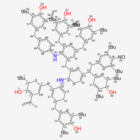 C=C(C)C1=C(O)C(C(C)(C)C)CC(CC2=CC(Cc3cc(C(C)(C)C)c(O)c(C(C)(C)C)c3)CC=C2NC2CC=C(C(Cc3cc(C(C)(C)C)c(N=O)c(C(C)(C)C)c3)C3=CC(C(C)(C)C)C(O)C(C(C)(C)C)=C3)C=C2Cc2cc(Cc3cc(C(C)(C)C)c(O)c(C(C)(C)C)c3)cc(Cc3cc(C(C)(C)C)c(O)c(C(C)(C)C)c3)c2Nc2ccc(Cc3cc(C(=C)C)c(O)c(C(C)(C)C)c3)cc2)=C1